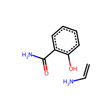 C=CN.NC(=O)c1ccccc1O